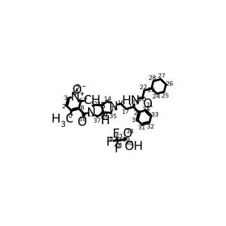 Cc1cc[n+]([O-])c(C)c1C(=O)N1CC2CN(CCC(NC(=O)CC3CCCCC3)c3ccccc3)C[C@H]2C1.O=C(O)C(F)(F)F